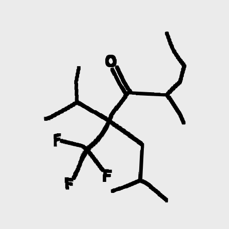 CCC(C)C(=O)C(CC(C)C)(C(C)C)C(F)(F)F